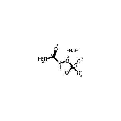 NC(=O)NO[I+3]([O-])([O-])[O-].[NaH]